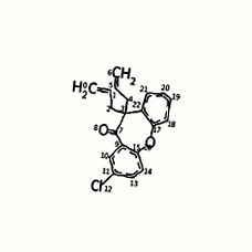 C=CCC1(CC=C)C(=O)c2cc(Cl)ccc2Oc2ccccc21